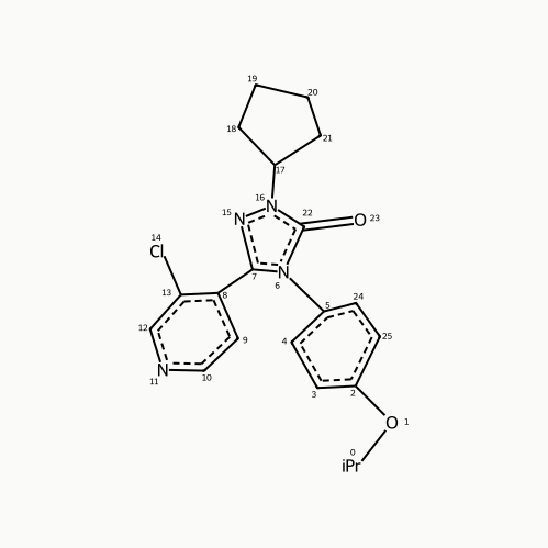 CC(C)Oc1ccc(-n2c(-c3ccncc3Cl)nn(C3CCCC3)c2=O)cc1